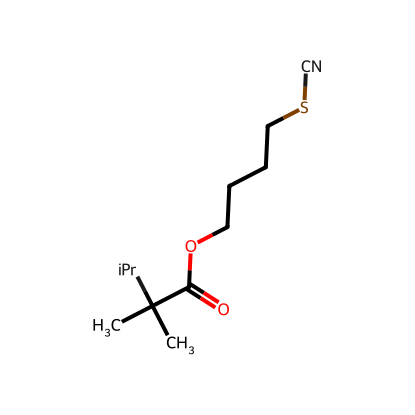 CC(C)C(C)(C)C(=O)OCCCCSC#N